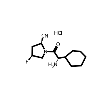 Cl.N#C[C@@H]1C[C@H](F)CN1C(=O)[C@@H](N)C1CCCCC1